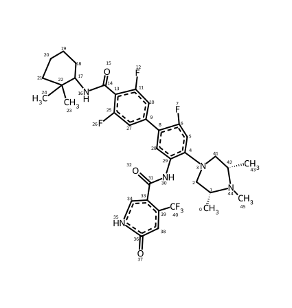 C[C@@H]1CN(c2cc(F)c(-c3cc(F)c(C(=O)NC4CCCCC4(C)C)c(F)c3)cc2NC(=O)c2c[nH]c(=O)cc2C(F)(F)F)C[C@H](C)N1C